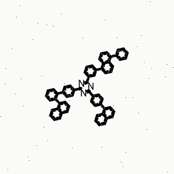 c1ccc(-c2cccc3c(-c4cccc(-c5nc(-c6ccc(-c7ccccc7-c7cccc8ccccc78)cc6)nc(-c6ccc(-c7cccc8ccccc78)cc6)n5)c4)cccc23)cc1